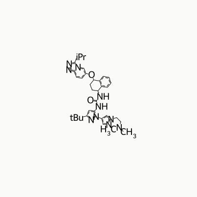 CC(C)c1nnc2ccc(OC3CC[C@H](NC(=O)Nc4cc(C(C)(C)C)nn4-c4cnn(CCN(C)C)c4)c4ccccc43)cn12